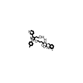 Cc1ccc(-n2nc(-c3cccnc3)c(CCO)c2OCCCC(=O)N[C@@H](Cc2ccccc2)C(N)=O)cc1